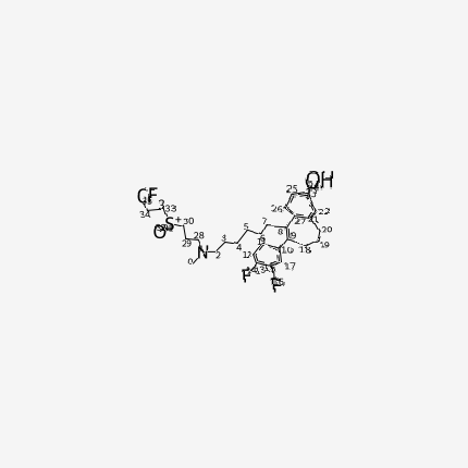 CN(CCCCCCC1=C(c2ccc(F)c(F)c2)CCCc2cc(O)ccc21)CCC[S+]([O-])CCC(F)(F)F